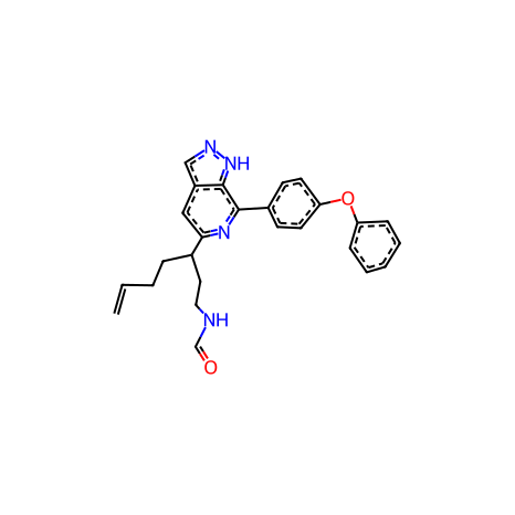 C=CCCC(CCNC=O)c1cc2cn[nH]c2c(-c2ccc(Oc3ccccc3)cc2)n1